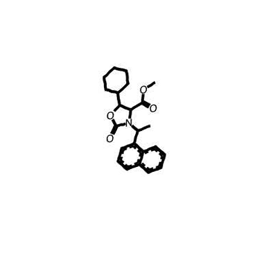 COC(=O)C1C(C2CCCCC2)OC(=O)N1C(C)c1cccc2ccccc12